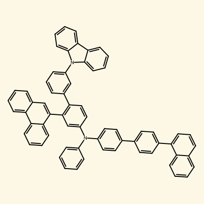 c1ccc(N(c2ccc(-c3ccc(-c4cccc5ccccc45)cc3)cc2)c2ccc(-c3cccc(-n4c5ccccc5c5ccccc54)c3)c(-c3cc4ccccc4c4ccccc34)c2)cc1